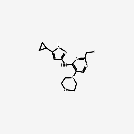 ICc1ncc(N2CCOCC2)c(Nc2cc(C3CC3)[nH]n2)n1